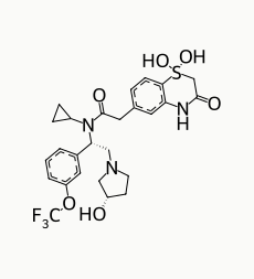 O=C1CS(O)(O)c2ccc(CC(=O)N(C3CC3)[C@H](CN3CC[C@H](O)C3)c3cccc(OC(F)(F)F)c3)cc2N1